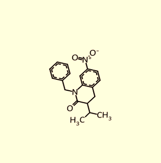 CC(C)C1Cc2ccc([N+](=O)[O-])cc2N(Cc2ccccc2)C1=O